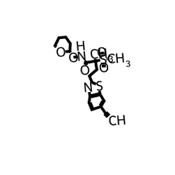 C#Cc1ccc2nc(CCC(C)(C(=O)NOC3CCCCO3)S(C)(=O)=O)sc2c1